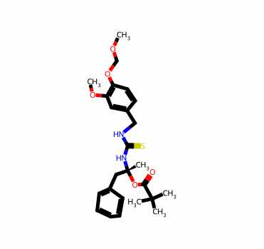 COCOc1ccc(CNC(=S)N[C@@](C)(Cc2ccccc2)OC(=O)C(C)(C)C)cc1OC